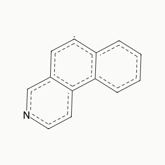 [c]1cc2cnccc2c2ccccc12